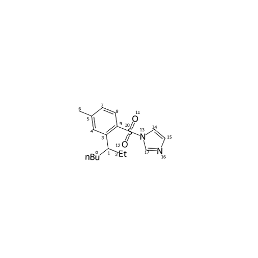 CCCCC(CC)c1cc(C)ccc1S(=O)(=O)n1ccnc1